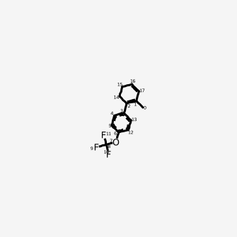 CC1=C(c2ccc(OC(F)(F)F)cc2)CCC=C1